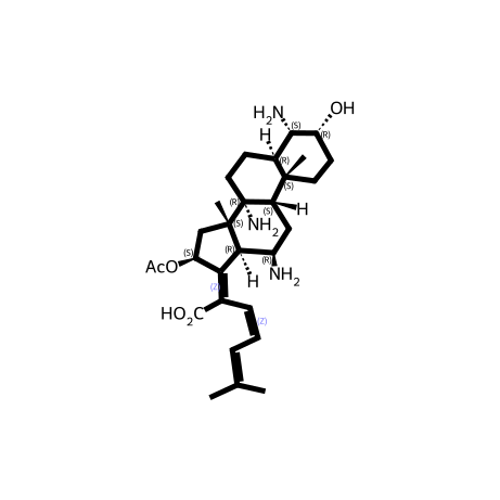 CC(=O)O[C@H]1C[C@@]2(C)[C@H](/C1=C(\C=C/C=C(C)C)C(=O)O)[C@H](N)C[C@H]1[C@@]3(C)CC[C@@H](O)[C@@H](N)[C@@H]3CC[C@@]12N